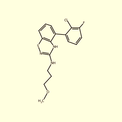 COCCCNC1=NSc2cccc(-c3cccc(F)c3Cl)c2N1